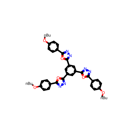 CCCCOc1ccc(-c2nnc(-c3cc(-c4nnc(-c5ccc(OCCCC)cc5)o4)cc(-c4nnc(-c5ccc(OCCCC)cc5)o4)c3)o2)cc1